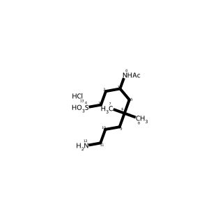 CC(=O)NC(CCS(=O)(=O)O)CC(C)(C)CCCN.Cl